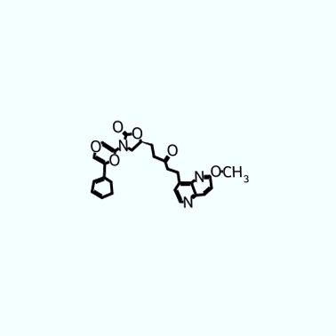 COc1ccc2nccc(CCC(=O)CC[C@H]3CN(C4=COC=C(C5=CC=CCC5)O4)C(=O)O3)c2n1